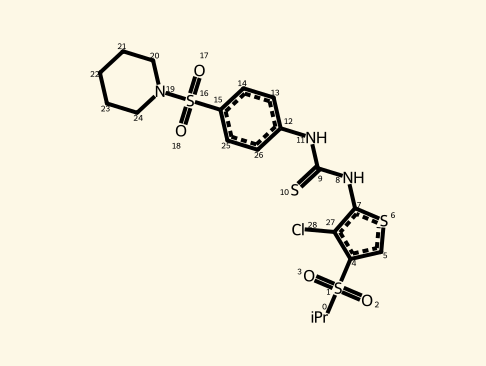 CC(C)S(=O)(=O)c1csc(NC(=S)Nc2ccc(S(=O)(=O)N3CCCCC3)cc2)c1Cl